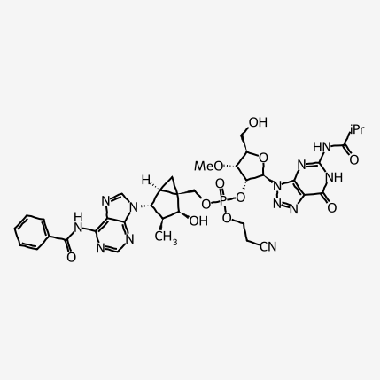 CO[C@H]1[C@@H](OP(=O)(OCCC#N)OC[C@]23C[C@@H]2[C@@H](n2cnc4c(NC(=O)c5ccccc5)ncnc42)[C@H](C)[C@@H]3O)[C@H](n2nnc3c(=O)[nH]c(NC(=O)C(C)C)nc32)O[C@@H]1CO